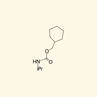 CC(C)NC(=O)OCC1CCCCC1